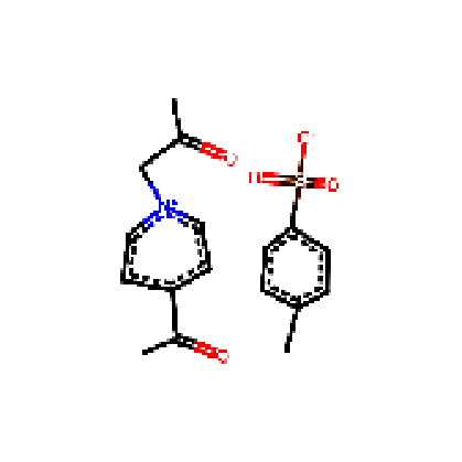 CC(=O)C[n+]1ccc(C(C)=O)cc1.Cc1ccc(S(=O)(=O)[O-])cc1